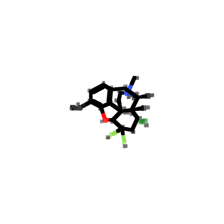 COc1ccc2c3c1OC1C(F)(F)CC[C@H]4[C@@H](C2)N(C)CC[C@]314.Cl